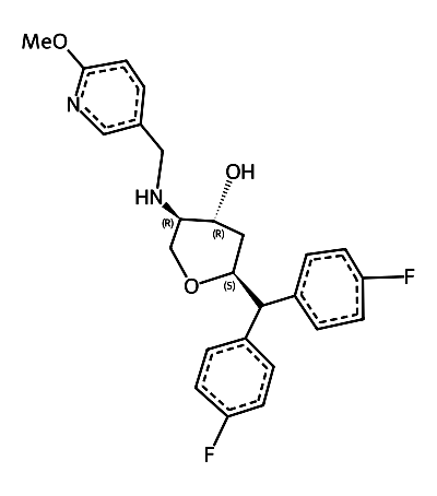 COc1ccc(CN[C@@H]2CO[C@H](C(c3ccc(F)cc3)c3ccc(F)cc3)C[C@H]2O)cn1